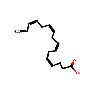 C=C/C=C\C/C=C\C/C=C\C/C=C\CCC(=O)O